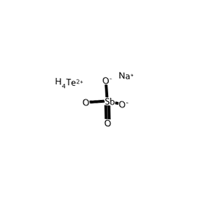 [Na+].[O]=[Sb]([O-])([O-])[O-].[TeH4+2]